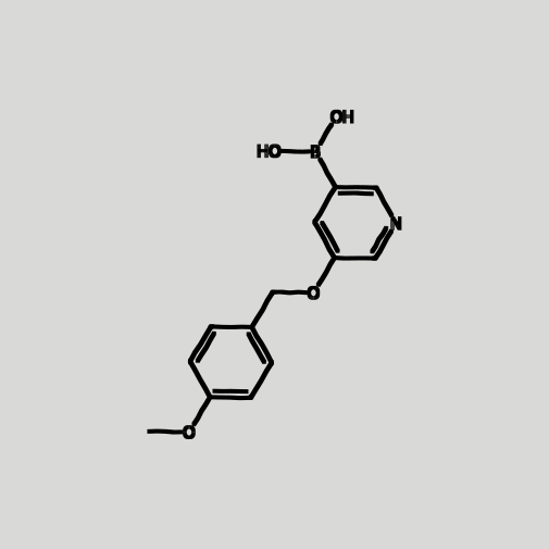 COc1ccc(COc2cncc(B(O)O)c2)cc1